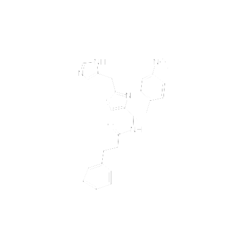 O=C(CCc1ccccc1)N[C@@H](Cc1ccc([N+](=O)[O-])cc1)c1csc(Cc2cnc[nH]2)n1